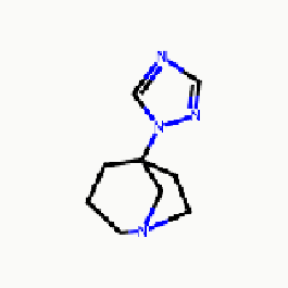 c1ncn(C23CCCN(CC2)C3)n1